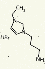 Br.CCN1C=CN(CCCN)C1